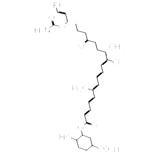 CC/C=C/[C@H](CCCC(=O)CC[C@H](C)/C(Cl)=C/C=C/C=C(C)/C=C/C=C/C(=O)OC1CC(C(=O)O)CCC1O)OC(N)=O